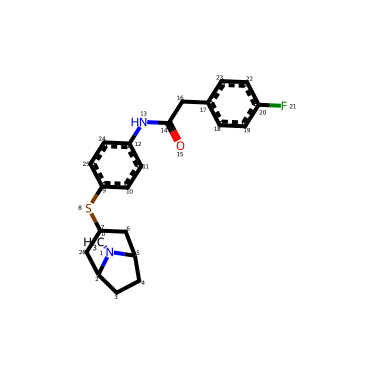 CN1C2CCC1CC(Sc1ccc(NC(=O)Cc3ccc(F)cc3)cc1)C2